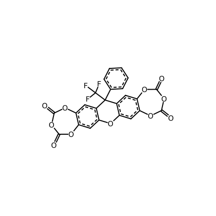 O=C1OC(=O)Oc2cc3c(cc2O1)Oc1cc2c(cc1C3(c1ccccc1)C(F)(F)F)OC(=O)OC(=O)O2